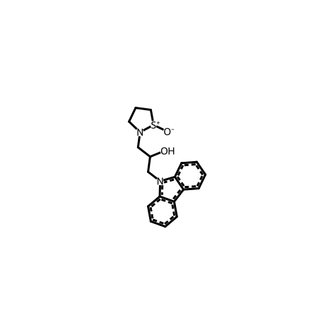 [O-][S+]1CCCN1CC(O)Cn1c2ccccc2c2ccccc21